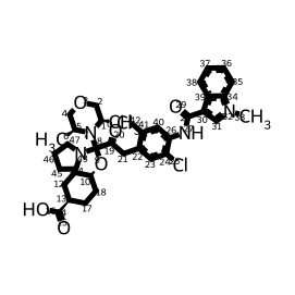 C[C@@H]1COC[C@H](C)N1C(O[C@H]1CC[C@H](C(=O)O)CC1)(C(=O)Cc1cc(Cl)c(NC(=O)c2cn(C)c3ccccc23)cc1Cl)N1CCCC1